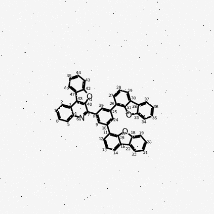 c1ccc2c(c1)nc(-c1cc(-c3cccc4c3oc3ccccc34)cc(-c3cccc4c3oc3ccccc34)c1)c1oc3ccccc3c12